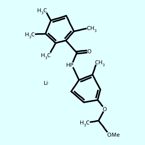 COC(C)Oc1ccc(PC(=O)c2c(C)cc(C)c(C)c2C)c(C)c1.[Li]